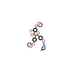 C[C@@H]1CCN(CCOc2ccc(C3Oc4cc(OC5CCCCO5)cc(F)c4C(=O)C3c3ccc(OC4CCCCO4)cc3)cc2)C1